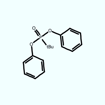 CC(C)(C)P(=O)(Oc1ccccc1)Oc1ccccc1